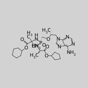 C[C@H](Cn1cnc2c(N)ncnc21)OC[P@](=O)(N[C@H](C)C(=O)OC1CCCC1)NC(C)(C)C(=O)OC1CCCCC1